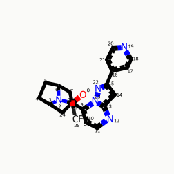 O=C(N1C2CCC1CC(c1ccnc3cc(-c4ccncc4)nn13)C2)C(F)(F)F